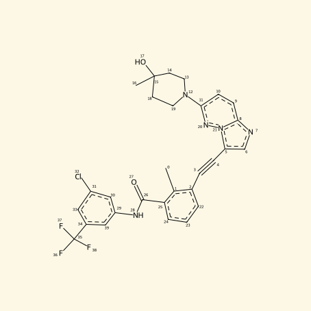 Cc1c(C#Cc2cnc3ccc(N4CCC(C)(O)CC4)nn23)cccc1C(=O)Nc1cc(Cl)cc(C(F)(F)F)c1